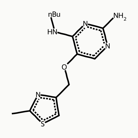 CCCCNc1nc(N)ncc1OCc1csc(C)n1